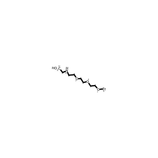 CCOCCOCCOCCNCC(=O)O